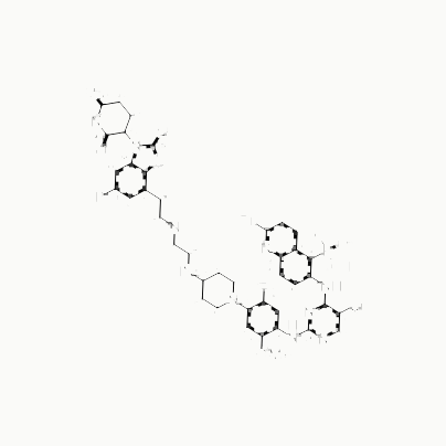 CCc1ccc2c(P(C)(C)=O)c(Nc3nc(Nc4cc(CC)c(N5CCC(NCCNCCc6cc(F)cc7c6oc(=O)n7C6CCC(=O)NC6=O)CC5)cc4OC)ncc3Br)ccc2n1